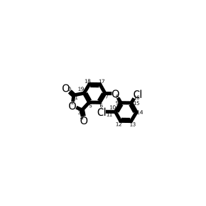 O=C1OC(=O)c2cc(Oc3c(Cl)cccc3Cl)ccc21